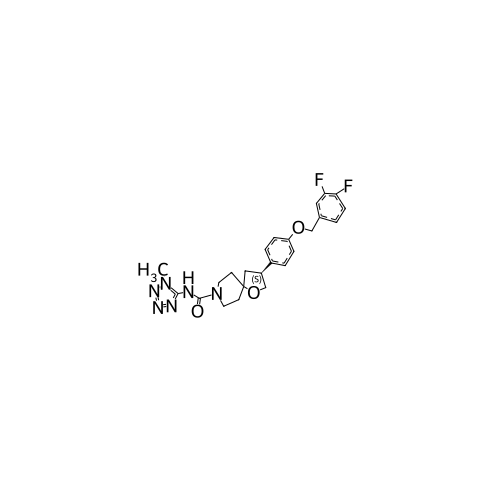 Cn1nnnc1NC(=O)N1CCC2(CC1)C[C@@H](c1ccc(OCc3ccc(F)c(F)c3)cc1)CO2